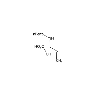 C=CCNCCCCC.O=C(O)O